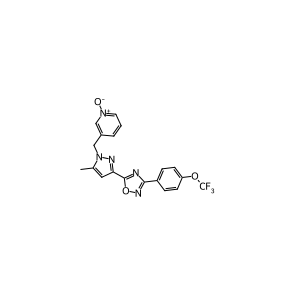 Cc1cc(-c2nc(-c3ccc(OC(F)(F)F)cc3)no2)nn1Cc1ccc[n+]([O-])c1